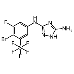 Nc1nc(Nc2cc(F)c(Br)c(S(F)(F)(F)(F)F)c2)n[nH]1